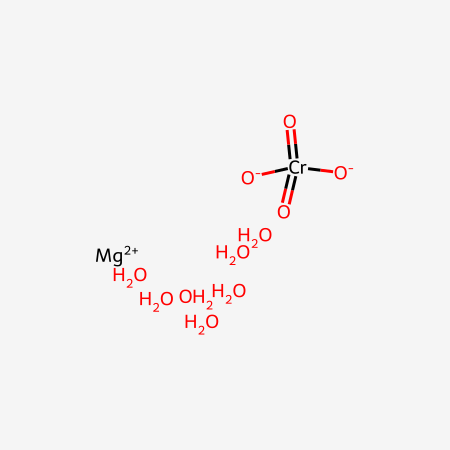 O.O.O.O.O.O.O.[Mg+2].[O]=[Cr](=[O])([O-])[O-]